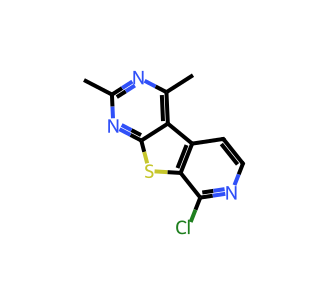 Cc1nc(C)c2c(n1)sc1c(Cl)nccc12